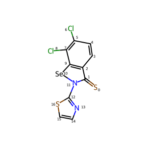 S=c1c2ccc(Cl)c(Cl)c2[se]n1-c1nccs1